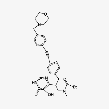 CCC(=O)N(C)CC(Cc1ccc(C#Cc2ccc(CN3CCOCC3)cc2)cc1)c1nc[nH]c(=O)c1O